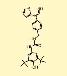 CC(C)(C)c1cc(NC(=O)NCc2ccc(N(C=N)c3cccs3)cc2)cc(C(C)(C)C)c1O